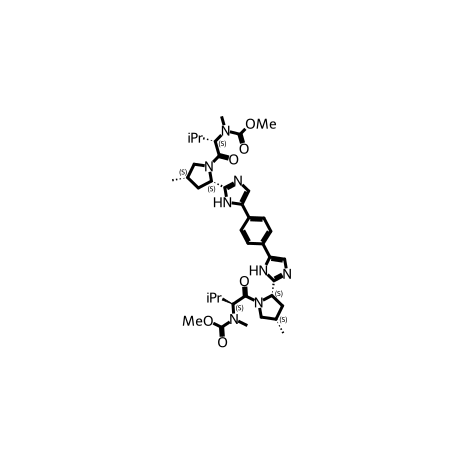 COC(=O)N(C)[C@H](C(=O)N1C[C@@H](C)C[C@H]1c1ncc(-c2ccc(-c3cnc([C@@H]4C[C@H](C)CN4C(=O)[C@H](C(C)C)N(C)C(=O)OC)[nH]3)cc2)[nH]1)C(C)C